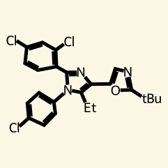 CCc1c(-c2cnc(C(C)(C)C)o2)nc(-c2ccc(Cl)cc2Cl)n1-c1ccc(Cl)cc1